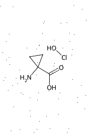 NC1(C(=O)O)CC1.OCl